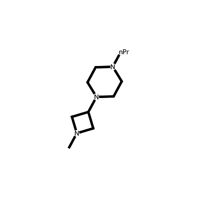 CCCN1CCN(C2CN(C)C2)CC1